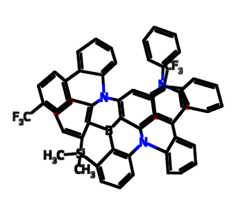 C[Si]1(C)c2cccc3c2B2c4c(cc(N(c5ccccc5)c5ccccc5)cc4N(c4ccccc4-c4ccc(C(F)(F)F)cc4)c4cccc1c42)N3c1ccccc1-c1ccc(C(F)(F)F)cc1